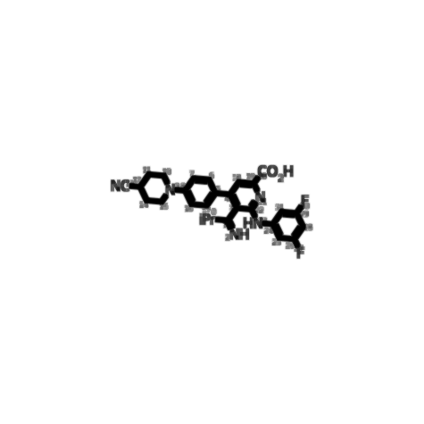 CC(C)C(=N)c1c(-c2ccc(N3CCC(C#N)CC3)cc2)cc(C(=O)O)nc1Nc1cc(F)cc(F)c1